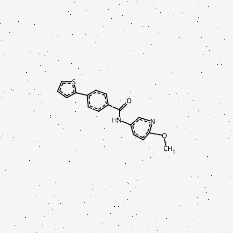 COc1ccc(NC(=O)c2ccc(-c3cccs3)cc2)cn1